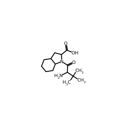 CC(C)(C)C(N)C(=O)N1C(C(=O)O)CC2CCCCC21